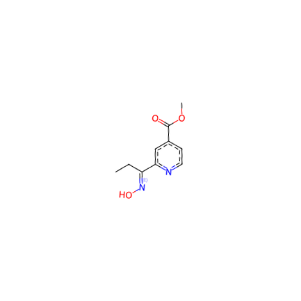 CC/C(=N\O)c1cc(C(=O)OC)ccn1